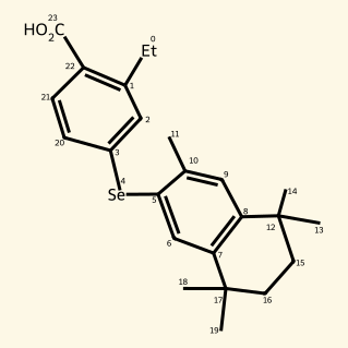 CCc1cc([Se]c2cc3c(cc2C)C(C)(C)CCC3(C)C)ccc1C(=O)O